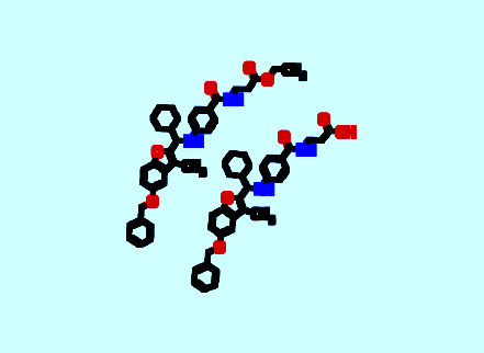 CCOC(=O)CCNC(=O)c1ccc(NC(c2oc3ccc(OCc4ccccc4)cc3c2C)C2CCCCC2)cc1.Cc1c(C(Nc2ccc(C(=O)NCCC(=O)O)cc2)C2CCCCC2)oc2ccc(OCc3ccccc3)cc12